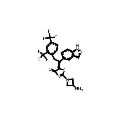 NC1CN(C2=NC(=O)C(=C(Cc3ccc(C(F)(F)F)cc3C(F)(F)F)c3ccc4[nH]ncc4c3)S2)C1